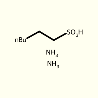 CCCCCCS(=O)(=O)O.N.N